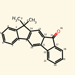 CC1(C)c2ccccc2-c2cc3c(cc21)C(=O)c1ccccc1-3